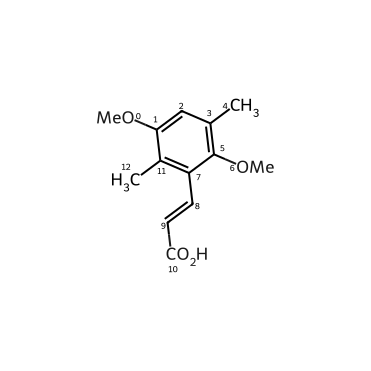 COc1cc(C)c(OC)c(C=CC(=O)O)c1C